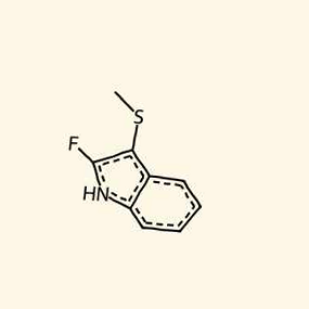 CSc1c(F)[nH]c2ccccc12